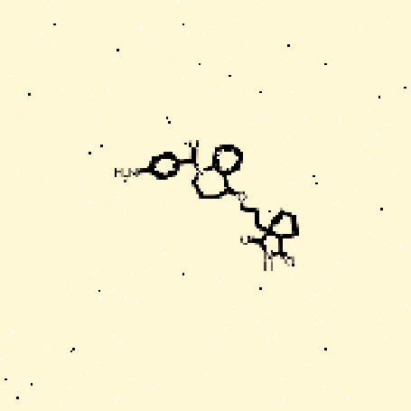 Nc1ccc(C(=O)N2CCCC(OCCCC34C=CC=CC3C(=O)NC4=O)c3ccccc32)cc1